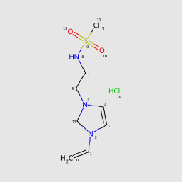 C=CN1C=CN(CCNS(=O)(=O)C(F)(F)F)C1.Cl